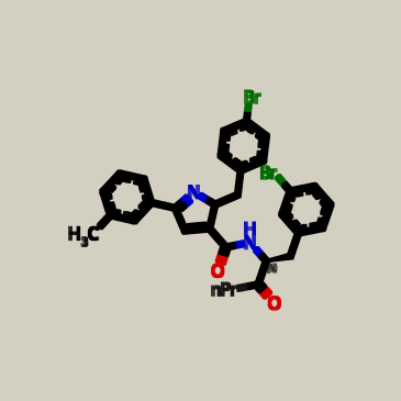 CCCC(=O)[C@H](Cc1cccc(Br)c1)NC(=O)C1=CC(c2cccc(C)c2)=NC1Cc1ccc(Br)cc1